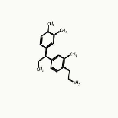 CCC(C1=CC(C)C(C)C=C1)c1ccc(CCN)c(C)c1